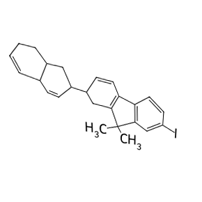 CC1(C)C2=C(C=CC(C3C=CC4C=CCCC4C3)C2)c2ccc(I)cc21